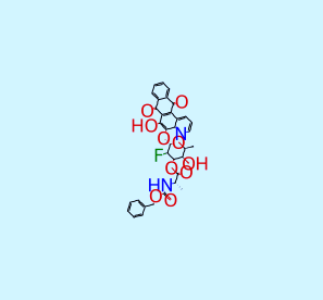 C[C@H](NC(=O)OCc1ccccc1)C(=O)O[C@@H]1[C@H](O)[C@H](C)O[C@@H](Oc2c(O)c3c(c4cccnc24)C(=O)c2ccccc2C3=O)[C@@H]1F